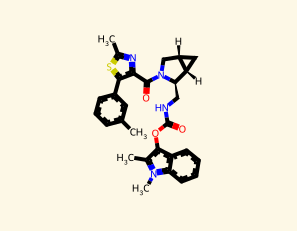 Cc1cccc(-c2sc(C)nc2C(=O)N2C[C@@H]3C[C@@H]3[C@H]2CNC(=O)Oc2c(C)n(C)c3ccccc23)c1